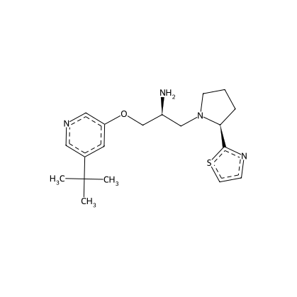 CC(C)(C)c1cncc(OC[C@@H](N)CN2CCC[C@H]2c2nccs2)c1